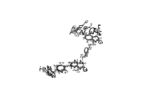 CC[C@@H]1COc2c(ccc3c2c(C(F)(F)F)cc(=O)n3CCCOCCN2CC(=O)N(CC)c3nc(-c4ccc(-c5nc[nH]n5)nc4C)cnc32)N1CC(F)(F)F